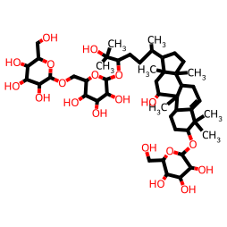 CC(CCC(OC1OC(COC2OC(CO)C(O)C(O)C2O)C(O)C(O)C1O)C(C)(C)O)C1CCC2(C)C3CC=C4C(CCC(OC5OC(CO)C(O)C(O)C5O)C4(C)C)C3(C)C(O)CC12C